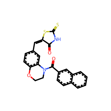 O=C1NC(=S)SC1=Cc1ccc2c(c1)N(C(=O)c1ccc3ccccc3c1)CCO2